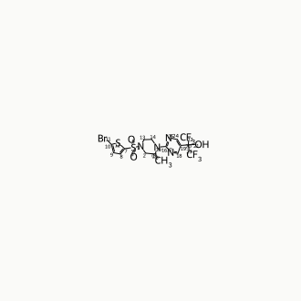 C[C@H]1CN(S(=O)(=O)c2ccc(Br)s2)CCN1c1ncc(C(O)(C(F)(F)F)C(F)(F)F)cn1